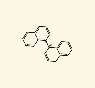 [C]1=CCc2ccccc2[C@@H]1c1[c]ccc2ccccc12